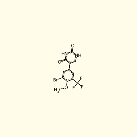 COc1c(Br)cc(-c2c[nH]c(=O)[nH]c2=O)cc1C(F)(F)F